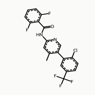 Cc1cc(NC(=O)c2c(F)cccc2F)ncc1-c1cc(C(F)(F)F)ccc1Cl